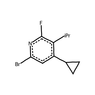 CC(C)c1c(C2CC2)cc(Br)nc1F